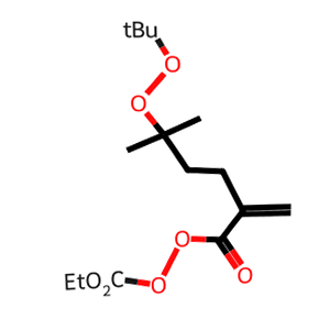 C=C(CCC(C)(C)OOC(C)(C)C)C(=O)OOC(=O)OCC